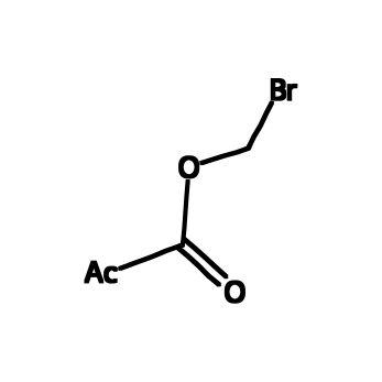 CC(=O)C(=O)OCBr